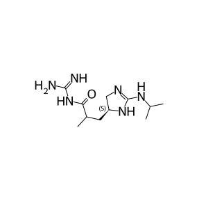 CC(C)NC1=NC[C@H](CC(C)C(=O)NC(=N)N)N1